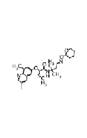 CSC(Oc1cc(C)c2ncc(I)cc2c1)C(=O)NC(C)(C)CC=NOC1CCCCO1